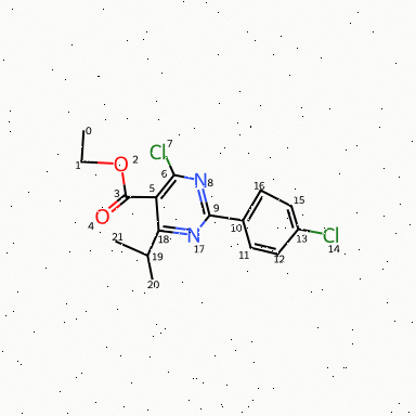 CCOC(=O)c1c(Cl)nc(-c2ccc(Cl)cc2)nc1C(C)C